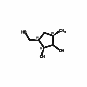 C[C@@H]1C[C@H](CO)[C@H](O)C1O